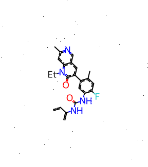 C=CC(=C)NC(=O)Nc1cc(-c2cc3cnc(C)cc3n(CC)c2=O)c(C)cc1F